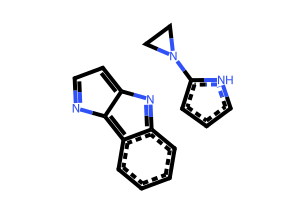 C1=NC2=c3ccccc3=NC2=C1.c1c[nH]c(N2CC2)c1